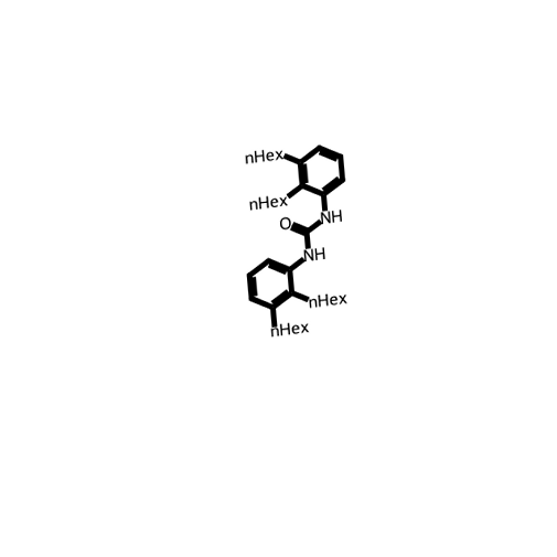 CCCCCCc1cccc(NC(=O)Nc2cccc(CCCCCC)c2CCCCCC)c1CCCCCC